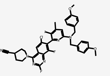 COc1ccc(CN(Cc2ccc(OC)cc2)c2cc(C)c(I)c(-c3c(Cl)cc4c(N5CCC(C#N)CC5)nc(F)nc4c3F)n2)cc1